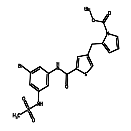 CC(C)(C)OC(=O)n1cccc1Cc1csc(C(=O)Nc2cc(Br)cc(NS(C)(=O)=O)c2)c1